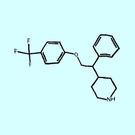 FC(F)(F)c1ccc(OCC(c2ccccc2)C2CCNCC2)cc1